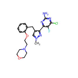 Cn1cc(Cc2ccccc2OCCN2CCOCC2)c(-c2nc(N)nc(Cl)c2F)n1